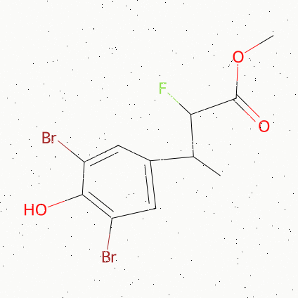 COC(=O)C(F)C(C)c1cc(Br)c(O)c(Br)c1